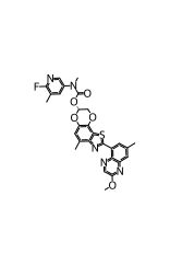 COc1cnc2c(-c3nc4c(C)cc5c(c4s3)OC[C@@H](OC(=O)N(C)c3cnc(F)c(C)c3)O5)cc(C)cc2n1